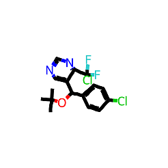 CC(C)(C)OC(c1ccc(Cl)cc1)c1cncnc1C(F)(F)Cl